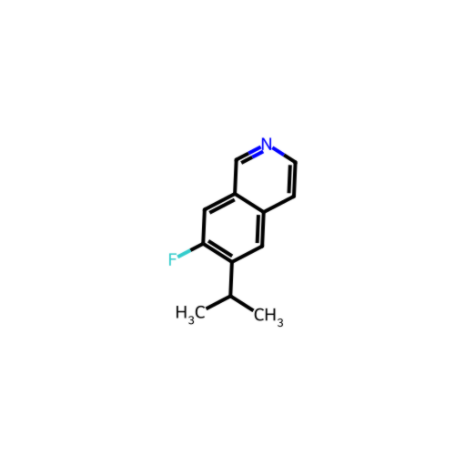 CC(C)c1cc2ccncc2cc1F